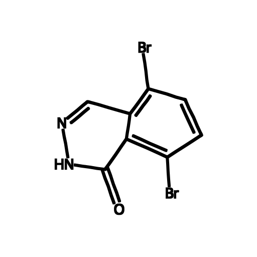 O=c1[nH]ncc2c(Br)ccc(Br)c12